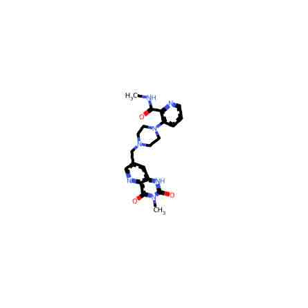 CNC(=O)c1ncccc1N1CCN(Cc2cnc3c(=O)n(C)c(=O)[nH]c3c2)CC1